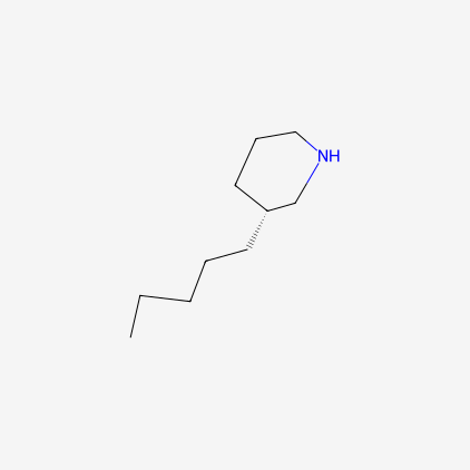 CCCCC[C@@H]1CCCNC1